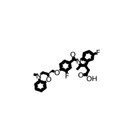 Cc1c(CC(=O)O)c2cc(F)ccc2n1C(=O)c1ccc(OC[C@@H]2CN(C)c3ccccc3O2)c(F)c1